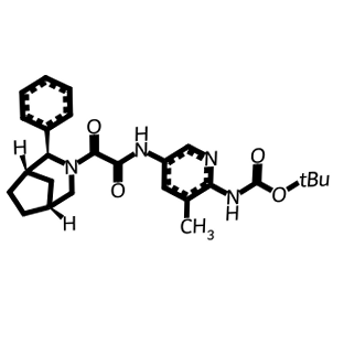 Cc1cc(NC(=O)C(=O)N2C[C@@H]3CC[C@@H](C3)[C@H]2c2ccccc2)cnc1NC(=O)OC(C)(C)C